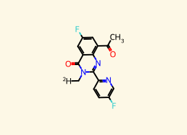 [2H]Cn1c(-c2ccc(F)cn2)nc2c(C(C)=O)cc(F)cc2c1=O